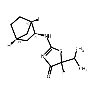 CC(C)C1(F)SC(N[C@H]2C[C@@H]3CC[C@H]2C3)=NC1=O